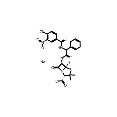 CC1(C)S[C@@H]2[C@H](NC(=O)C(NC(=O)c3ccc(Cl)c([N+](=O)[O-])c3)C3=CCC=CC3)C(=O)N2[C@H]1C(=O)[O-].[Na+]